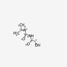 CC(C)=NC(=O)NC(=O)CO